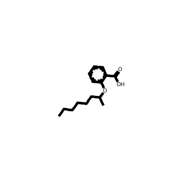 CCCCCCC(C)Oc1ccccc1C(=O)O